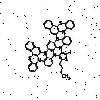 CCCCc1sc(I)c2c1N1c3cccc4c3B(c3ccc5c(c31)N2c1cccc2c1B5c1cc3ccccc3c3c1N2c1ccccc1S3)c1cc2ccccc2c2c1N4c1ccccc1S2